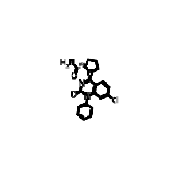 NC(=O)[C@@H]1CCCN1c1nc(=O)n(-c2ccccc2)c2cc(Cl)ccc12